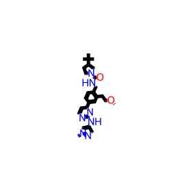 COCCc1cc(-c2ccnc(Nc3cnn(C)c3)n2)ccc1CNC(=O)N1CCC(C(C)(C)C)C1